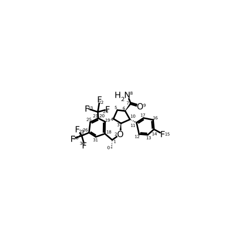 C[C@@H](O[C@H]1CC[C@@H](C(N)=O)[C@@H]1c1ccc(F)cc1)c1cc(C(F)(F)F)cc(C(F)(F)F)c1